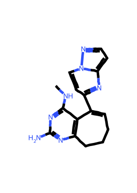 CNc1nc(N)nc2c1C(c1ccn3nccc3n1)=CCCC2